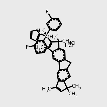 Cl.Cl.[CH2]=[Zr]([C]1=CC=CC1)([C]1=C(C)c2cc3c(cc2C1(C)C)Cc1cc2c(cc1-3)C(C)=CC2(C)C)([c]1cccc(F)c1)[c]1cccc(F)c1